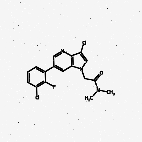 CN(C)C(=O)Cn1cc(Cl)c2ncc(-c3cccc(Cl)c3F)cc21